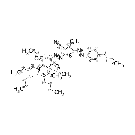 CCCCc1ccc(N=Nc2sc(N=Nc3cc(OCC)c(N(CC(CC)CCCC)CC(CC)CCCC)cc3OCC)c(C#N)c2C)cc1